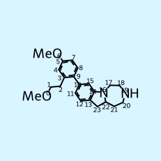 COCCc1cc(OC)ccc1-c1ccc2c(c1)N1CCNCCC1C2